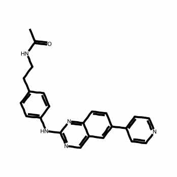 CC(=O)NCCc1ccc(Nc2ncc3cc(-c4ccncc4)ccc3n2)cc1